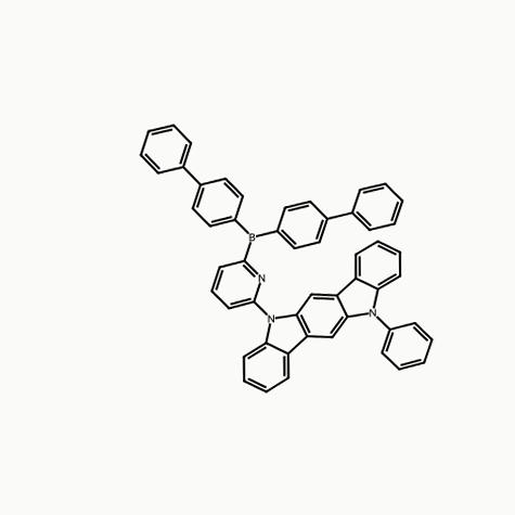 c1ccc(-c2ccc(B(c3ccc(-c4ccccc4)cc3)c3cccc(-n4c5ccccc5c5cc6c(cc54)c4ccccc4n6-c4ccccc4)n3)cc2)cc1